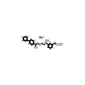 CC/C(=N\OCCN(C)c1cccc(CC(=O)[O-])c1)c1ccc(-c2ccccc2)cc1.[Na+]